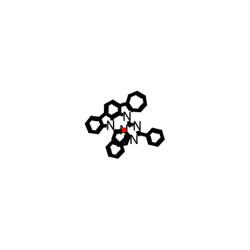 C1=CCc2c(n(-c3nc(-c4ccccc4)nc(-c4ccccc4)n3)c3c2ccc2c4ccccc4n(-c4ccccc4)c23)C=C1